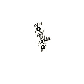 COC(=O)C1=C(CN2CCN3C(=O)N(c4ccc(C(=O)O)cc4F)C[C@@H]3C2)NC(c2nccs2)=N[C@H]1c1ccc(F)c(F)c1C